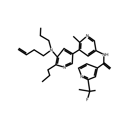 C=CCCN(CCC)c1cc(-c2cc(NC(=C)c3ccnc(C(C)(C)F)c3)cnc2C)cnc1CCC